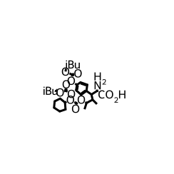 CCC(C)OC(=O)Oc1ccc(C(C(C)C(C)OC(=O)OC2CCCCC2)[C@H](N)C(=O)O)cc1OC(=O)OC(C)CC